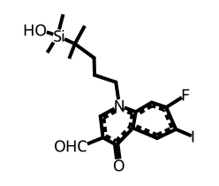 CC(C)(CCCn1cc(C=O)c(=O)c2cc(I)c(F)cc21)[Si](C)(C)O